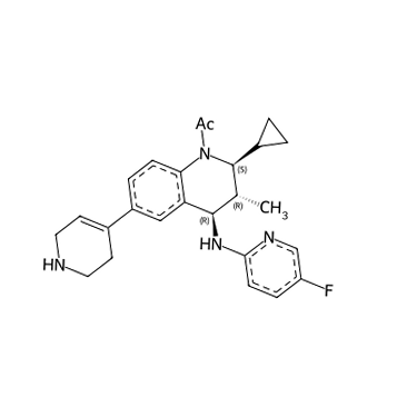 CC(=O)N1c2ccc(C3=CCNCC3)cc2[C@H](Nc2ccc(F)cn2)[C@@H](C)[C@@H]1C1CC1